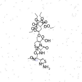 CCOOP(=O)(OOCC)C(CC(=O)OCC1=C(C(=O)O)N2C(=O)C(NC(=O)/C(=N\OC)c3csc(N)n3)[C@@H]2SC1)P(=O)(OOCC)OOCC